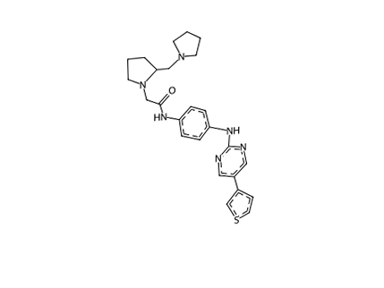 O=C(CN1CCCC1CN1CCCC1)Nc1ccc(Nc2ncc(-c3ccsc3)cn2)cc1